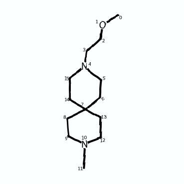 COCCN1CCC2(CCN(C)CC2)CC1